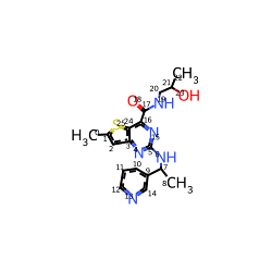 Cc1cc2nc(NC(C)c3cccnc3)nc(C(=O)NCC(C)O)c2s1